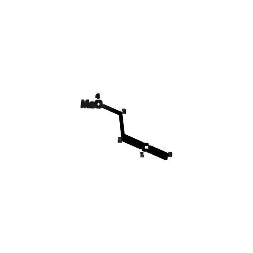 C=C=CCOC